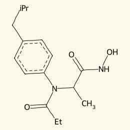 CCC(=O)N(c1ccc(CC(C)C)cc1)C(C)C(=O)NO